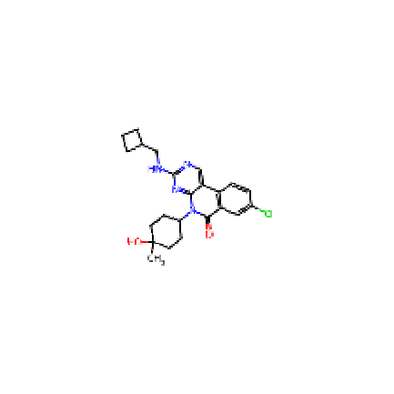 CC1(O)CCC(n2c(=O)c3cc(Cl)ccc3c3cnc(NCC4CCC4)nc32)CC1